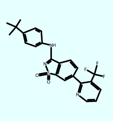 CC(C)(C)c1ccc(NC2=NS(=O)(=O)c3cc(-c4ncccc4C(F)(F)F)ccc32)cc1